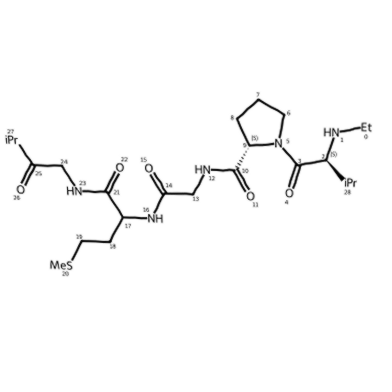 CCN[C@H](C(=O)N1CCC[C@H]1C(=O)NCC(=O)NC(CCSC)C(=O)NCC(=O)C(C)C)C(C)C